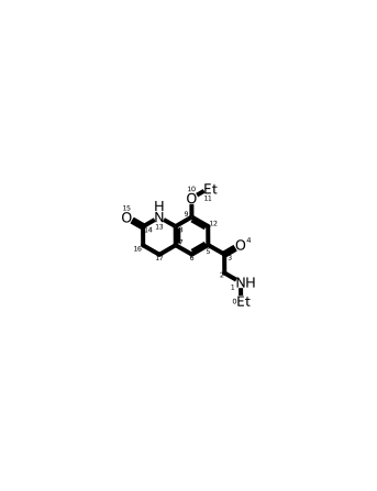 CCNCC(=O)c1cc2c(c(OCC)c1)NC(=O)CC2